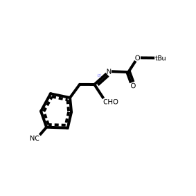 CC(C)(C)OC(=O)/N=C(\C=O)Cc1ccc(C#N)cc1